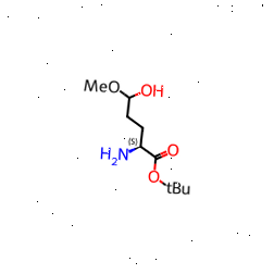 COC(O)CC[C@H](N)C(=O)OC(C)(C)C